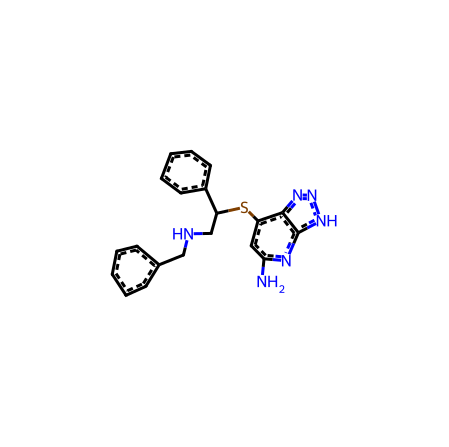 Nc1cc(SC(CNCc2ccccc2)c2ccccc2)c2nn[nH]c2n1